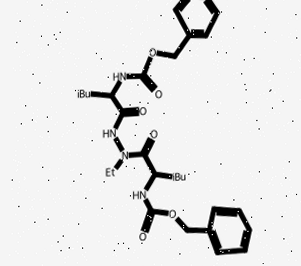 CCC(C)C(NC(=O)OCc1ccccc1)C(=O)NN(CC)C(=O)C(NC(=O)OCc1ccccc1)C(C)CC